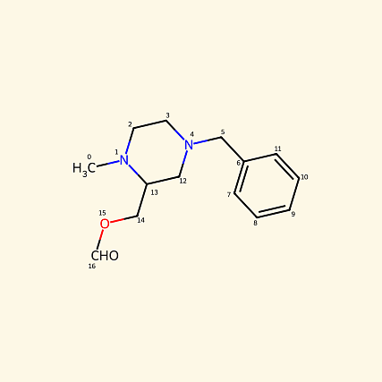 CN1CCN(Cc2ccccc2)CC1COC=O